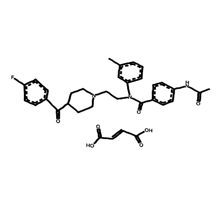 CC(=O)Nc1ccc(C(=O)N(CCN2CCC(C(=O)c3ccc(F)cc3)CC2)c2cccc(C)c2)cc1.O=C(O)C=CC(=O)O